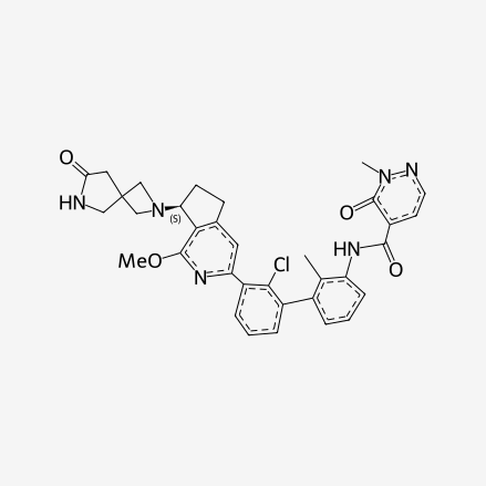 COc1nc(-c2cccc(-c3cccc(NC(=O)c4ccnn(C)c4=O)c3C)c2Cl)cc2c1[C@@H](N1CC3(CNC(=O)C3)C1)CC2